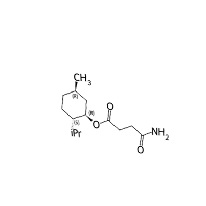 CC(C)[C@@H]1CC[C@@H](C)C[C@H]1OC(=O)CCC(N)=O